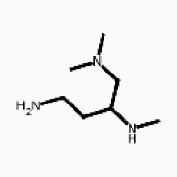 CNC(CCN)CN(C)C